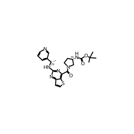 C[C@H](Nc1nc(C(=O)N2CC[C@H](NC(=O)OC(C)(C)C)C2)c2sccc2n1)c1cccnc1